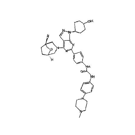 CN1CCN(c2ccc(NC(=O)Nc3ccc(-c4nc(N5C[C@H]6CC[C@H](C5)O6)c5cnn(C6CCC(O)CC6)c5n4)cc3)cc2)CC1